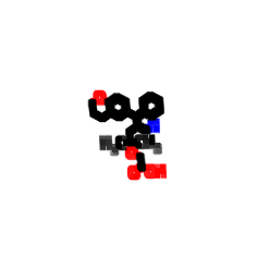 CC(C)(Cc1cnc2ccccc2c1-c1ccc2c(c1)CCCO2)OCC(=O)O